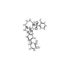 Cc1ccccc1S(=O)(=O)N1CCCCN2C[C@@H](c3ccc(-c4cccc(C)c4C)cc3)[C@@H]2C1